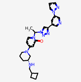 CC(n1cc(-c2cncc(-n3cccn3)c2)nn1)n1ccc(N2CCC[C@@H](NCC3CCC3)C2)cc1=O